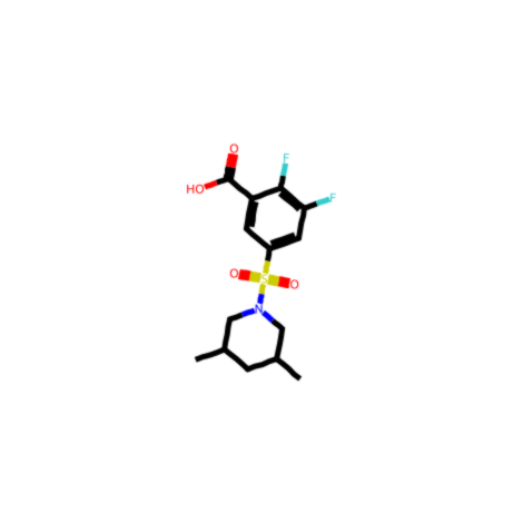 CC1CC(C)CN(S(=O)(=O)c2cc(F)c(F)c(C(=O)O)c2)C1